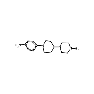 CCN1CCN(C2CCN(c3ccc(N)cc3)CC2)CC1